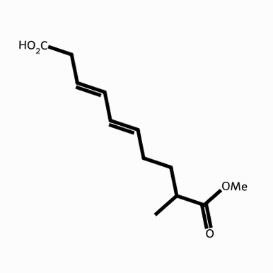 COC(=O)C(C)CCC=CC=CCC(=O)O